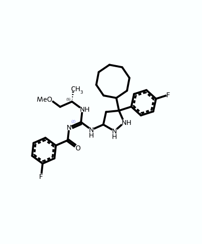 COC[C@H](C)N/C(=N/C(=O)c1cccc(F)c1)NC1CC(c2ccc(F)cc2)(C2CCCCCCC2)NN1